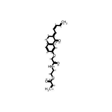 C=C/C=C\C=C1/CSc2ccc(OCC(=O)NCCOC(=O)C=C)cc2C1=O